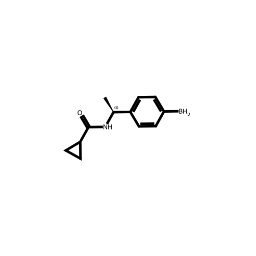 Bc1ccc([C@H](C)NC(=O)C2CC2)cc1